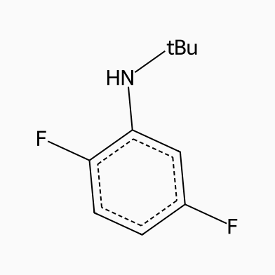 CC(C)(C)Nc1cc(F)ccc1F